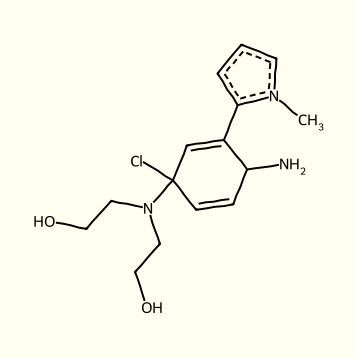 Cn1cccc1C1=CC(Cl)(N(CCO)CCO)C=CC1N